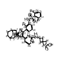 O=C1CC2CCC(C1)N2c1nc(-c2cccc(NS(=O)(=O)c3c(F)cccc3F)c2F)c(-c2ccnc(NC3CC4(C3)CS(=O)(=O)C4)n2)s1